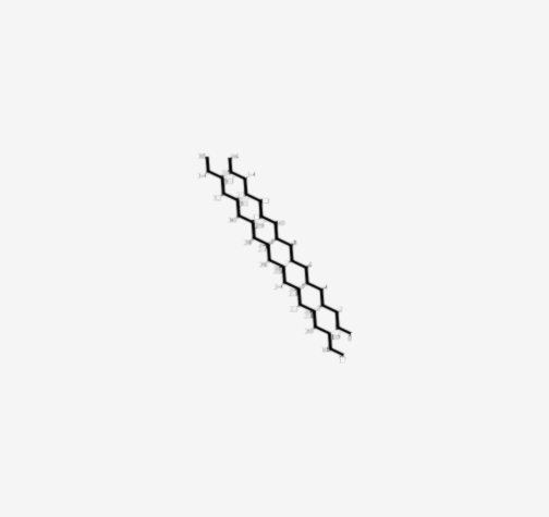 CCCCCCCCCCCCCCCCC.CCCCCCCCCCCCCCCCCCC